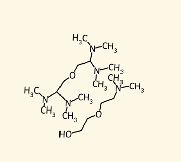 CN(C)C(COCC(N(C)C)N(C)C)N(C)C.CN(C)CCOCCO